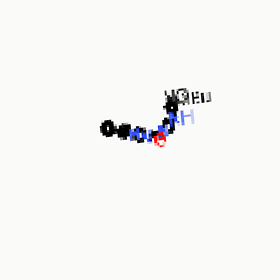 CC(C)COc1cc(NC2CCN(C(=O)CCN3CCN(c4ccc(-c5ccccc5)cc4)CC3)CC2)ccc1N=O